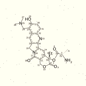 CC[C@@]1(OC(=O)[C@H](C)N)C(=O)OCc2c1cc1n(c2=O)Cc2cc3c(CN(C)C)c(O)ccc3nc2-1